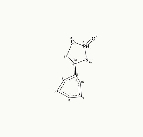 O=[PH]1OC[C@H](c2ccccc2)S1